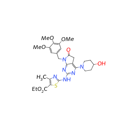 CCOC(=O)c1sc(Nc2nc(N3CCC(O)CC3)c3c(n2)N(Cc2cc(OC)c(OC)c(OC)c2)C(=O)C3)nc1C